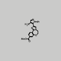 COC(=O)c1ccc2c(c1)OCCn1cc(-c3c(N)cnn3C(C)C)nc1-2